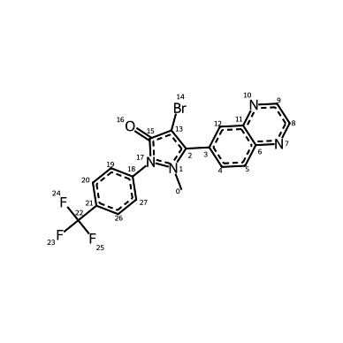 Cn1c(-c2ccc3nccnc3c2)c(Br)c(=O)n1-c1ccc(C(F)(F)F)cc1